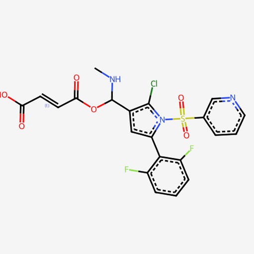 CNC(OC(=O)/C=C/C(=O)O)c1cc(-c2c(F)cccc2F)n(S(=O)(=O)c2cccnc2)c1Cl